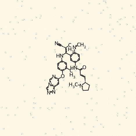 C=Nc1ccc(NC(=O)/C=C/[C@H]2CCCN2C)cc1/C(Nc1ccc(Oc2cc3nncn3cn2)c(C)c1)=C(\C)C#N